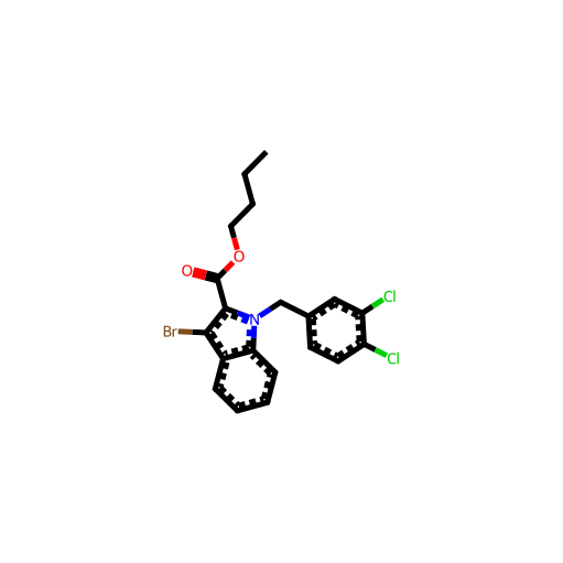 CCCCOC(=O)c1c(Br)c2ccccc2n1Cc1ccc(Cl)c(Cl)c1